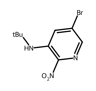 CC(C)(C)Nc1cc(Br)cnc1[N+](=O)[O-]